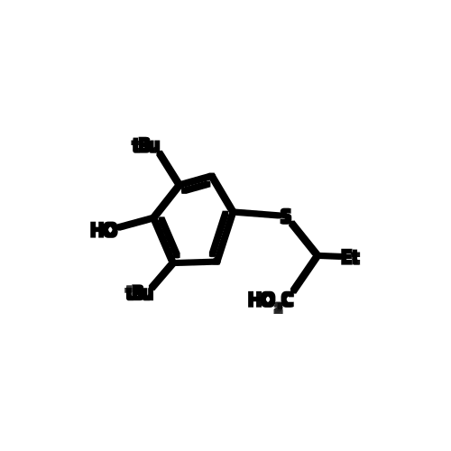 CCC(Sc1cc(C(C)(C)C)c(O)c(C(C)(C)C)c1)C(=O)O